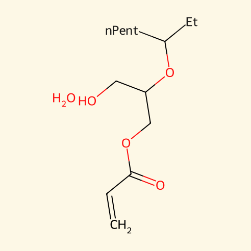 C=CC(=O)OCC(CO)OC(CC)CCCCC.O